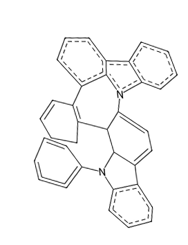 C1=C=C(N2c3ccccc3C3=CC=C4C(C5=C(C=CCC5)c5cccc6c7ccccc7n4c56)C32)C=CC=1